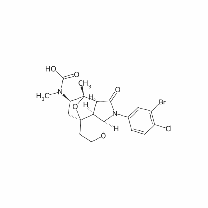 CN(C(=O)O)[C@@H]1C[C@@]23CCO[C@H]4[C@@H]2[C@H](C(=O)N4c2ccc(Cl)c(Br)c2)[C@]1(C)O3